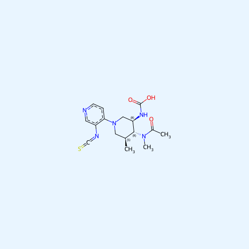 CC(=O)N(C)[C@@H]1[C@@H](C)CN(c2ccncc2N=C=S)C[C@H]1NC(=O)O